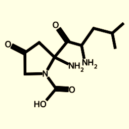 CC(C)CC(N)C(=O)C1(N)CC(=O)CN1C(=O)O